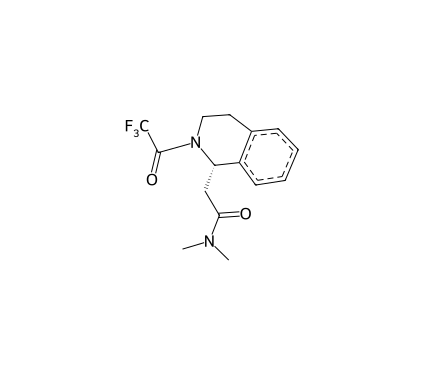 CN(C)C(=O)C[C@H]1c2ccccc2CCN1C(=O)C(F)(F)F